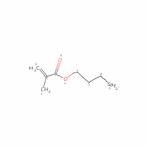 C=C(C)C(=O)OCCC[SiH2]